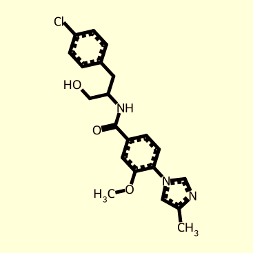 COc1cc(C(=O)NC(CO)Cc2ccc(Cl)cc2)ccc1-n1cnc(C)c1